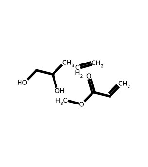 C=C.C=CC(=O)OC.CC(O)CO